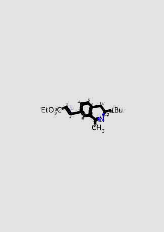 CCOC(=O)/C=C/c1ccc2c(c1)C(C)=NC(C(C)(C)C)C2